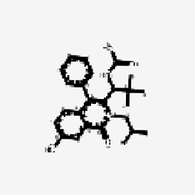 CC(C)Cn1c(C(NC(=O)O)C(C)(C)C)c(-c2ccccc2)c2ccc(O)cc2c1=O